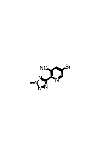 Cn1nnc(-c2ncc(Br)cc2C#N)n1